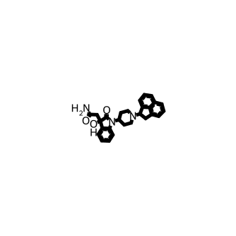 NC(=O)CC1(O)C(=O)N(C2CCN(C3Cc4cccc5cccc3c45)CC2)c2ccccc21